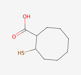 O=C(O)C1CCCCCCC1S